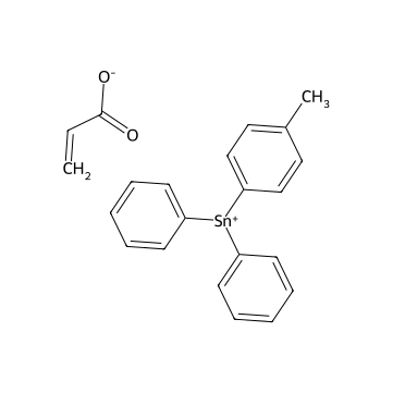 C=CC(=O)[O-].Cc1cc[c]([Sn+]([c]2ccccc2)[c]2ccccc2)cc1